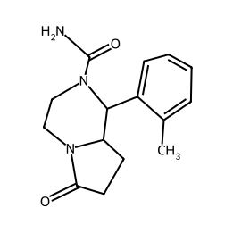 Cc1ccccc1C1C2CCC(=O)N2CCN1C(N)=O